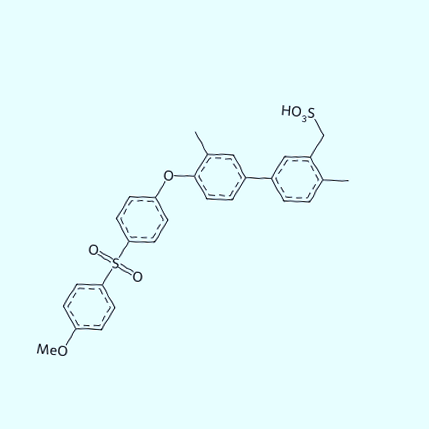 COc1ccc(S(=O)(=O)c2ccc(Oc3ccc(-c4ccc(C)c(CS(=O)(=O)O)c4)cc3C)cc2)cc1